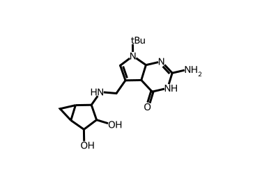 CC(C)(C)N1C=C(CNC2C(O)C(O)C3CC32)C2C(=O)NC(N)=NC21